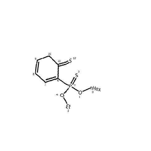 CCCCCCOP(=S)(OCC)C1=CC=CCC1=S